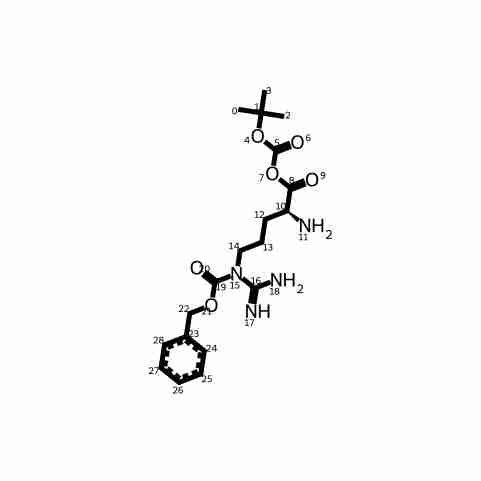 CC(C)(C)OC(=O)OC(=O)[C@@H](N)CCCN(C(=N)N)C(=O)OCc1ccccc1